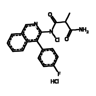 CC(C(N)=O)C(=O)N(Cl)c1ncc2ccccc2c1-c1ccc(F)cc1.Cl